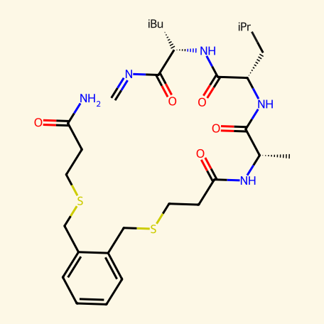 C=NC(=O)[C@@H](NC(=O)[C@H](CC(C)C)NC(=O)[C@H](C)NC(=O)CCSCc1ccccc1CSCCC(N)=O)[C@@H](C)CC